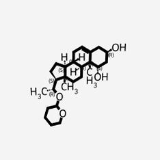 C[C@@H](OC1CCCCO1)[C@H]1CC[C@H]2[C@@H]3CC=C4C[C@@H](O)C[C@H](O)[C@]4(C)[C@H]3CC[C@]12C